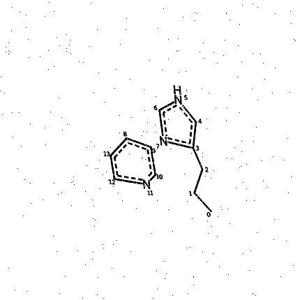 CCCc1c[nH]cn1.c1ccncc1